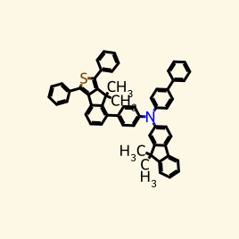 CC1(C)c2ccccc2-c2ccc(N(c3ccc(-c4ccccc4)cc3)c3ccc(-c4cccc5c4C(C)(C)c4c(-c6ccccc6)sc(-c6ccccc6)c4-5)cc3)cc21